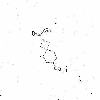 CC(C)(C)C(=O)N1CC2(CCC(C(=O)O)CC2)C1